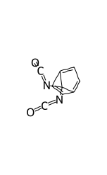 O=C=NC1(N=C=O)C2=CC=C1C=C2